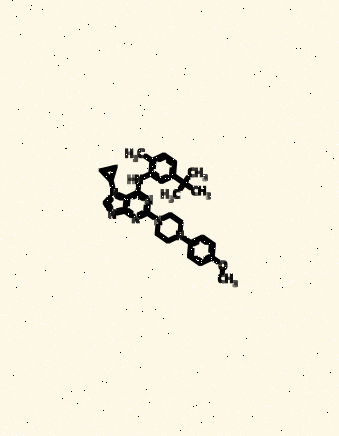 COc1ccc(N2CCN(c3nc(Nc4cc(C(C)(C)C)ccc4C)c4c(ncn4C4CC4)n3)CC2)cc1